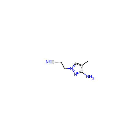 Cc1cn(CCC#N)nc1N